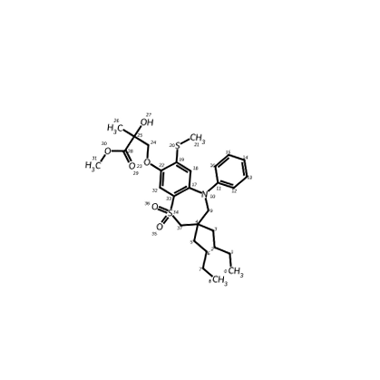 CCCCC1(CCCC)CN(c2ccccc2)c2cc(SC)c(OCC(C)(O)C(=O)OC)cc2S(=O)(=O)C1